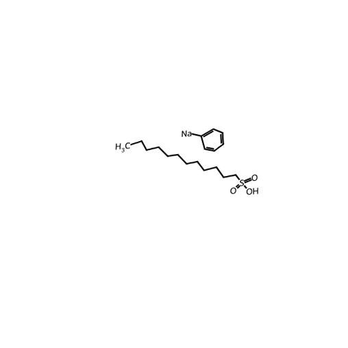 CCCCCCCCCCCCS(=O)(=O)O.[Na][c]1ccccc1